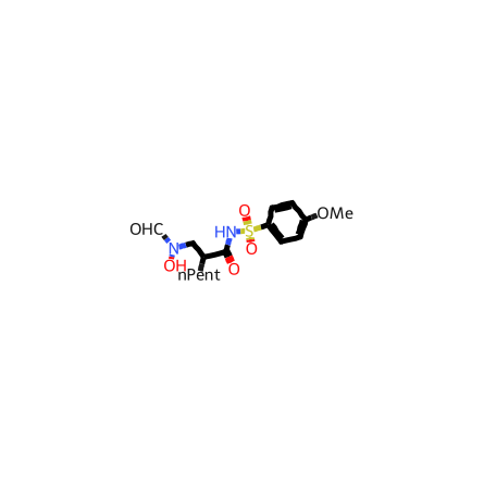 CCCCCC(CN(O)C=O)C(=O)NS(=O)(=O)c1ccc(OC)cc1